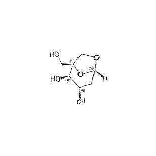 OC[C@]12CO[C@H](C[C@@H](O)[C@H]1O)O2